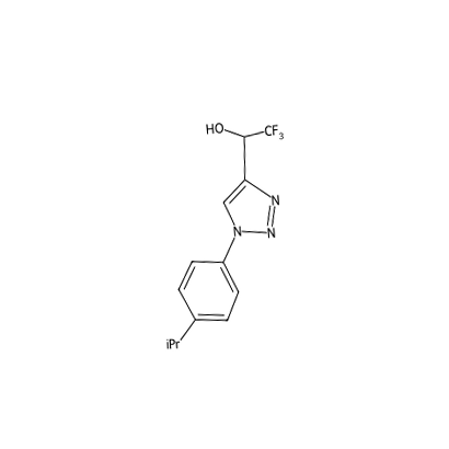 CC(C)c1ccc(-n2cc(C(O)C(F)(F)F)nn2)cc1